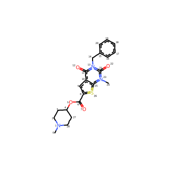 CN1CCC(OC(=O)c2cc3c(=O)n(Cc4ccccc4)c(=O)n(C)c3s2)CC1